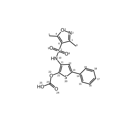 Cc1noc(C)c1S(=O)(=O)Nc1cc(-c2ccccc2)sc1OC(=O)O